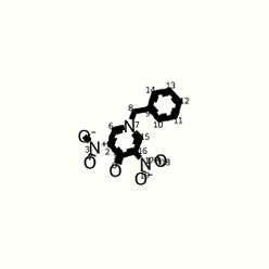 O=c1c([N+](=O)[O-])cn(Cc2ccccc2)cc1[N+](=O)[O-]